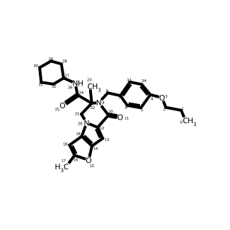 CCCOc1ccc(CN2C(=O)c3cc4oc(C)cc4n3CC2(C)C(=O)NC2CCCCC2)cc1